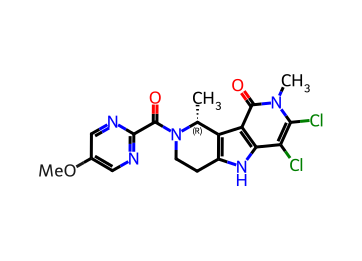 COc1cnc(C(=O)N2CCc3[nH]c4c(Cl)c(Cl)n(C)c(=O)c4c3[C@H]2C)nc1